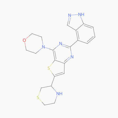 c1cc(-c2nc(N3CCOCC3)c3sc(C4CSCCN4)cc3n2)c2cn[nH]c2c1